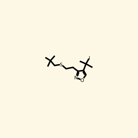 CC(C)(C)CSCCc1nocc1C(C)(C)I